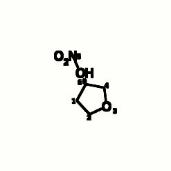 C1CCOC1.O=[N+]([O-])O